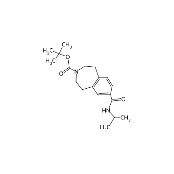 CC(C)NC(=O)c1ccc2c(c1)CCN(C(=O)OC(C)(C)C)CC2